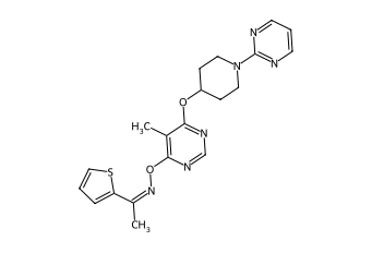 CC(=NOc1ncnc(OC2CCN(c3ncccn3)CC2)c1C)c1cccs1